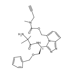 C#CCN(C)C(=O)OCc1cccc2nnc([C@@H](COCc3ccccc3)NC(=O)C(C)(C)N)n12